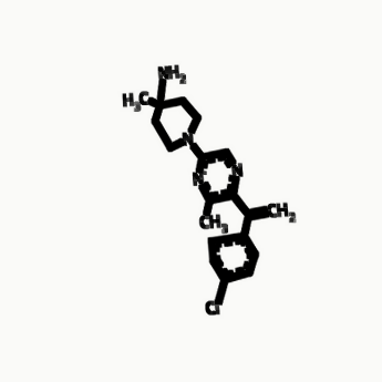 C=C(c1ccc(Cl)cc1)c1ncc(N2CCC(C)(N)CC2)nc1C